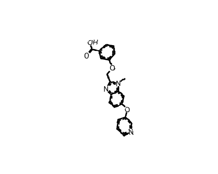 Cn1c(COc2cccc(C(=O)O)c2)nc2ccc(Oc3cccnc3)cc21